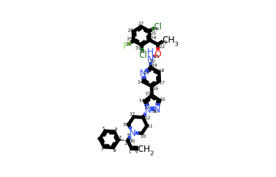 C=C[C@H](c1ccccc1)N1CCC(n2cc(-c3ccc(NOC(C)c4c(Cl)ccc(F)c4Cl)nc3)cn2)CC1